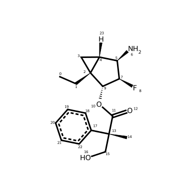 CC[C@@]12C[C@@H]1[C@@H](N)[C@@H](F)[C@@H]2OC(=O)[C@](C)(CO)c1ccccc1